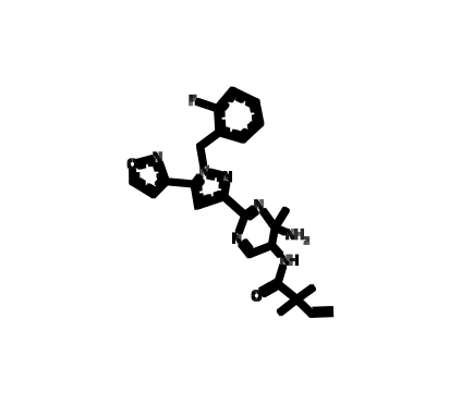 C=CC(C)(C)C(=O)NC1C=NC(c2cc(-c3ccon3)n(Cc3ccccc3F)n2)=NC1(C)N